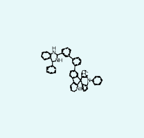 C1=CC2=C(NC1)C1(c3cc(-c4cccc(-c5cccc(C6Nc7ccccc7C(c7ccccc7)N6)c5)c4)ccc32)c2ccccc2N(c2ccccc2)c2ccccc21